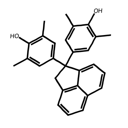 Cc1cc(C2(c3cc(C)c(O)c(C)c3)Cc3cccc4cccc2c34)cc(C)c1O